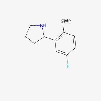 CSc1ccc(F)cc1C1CCCN1